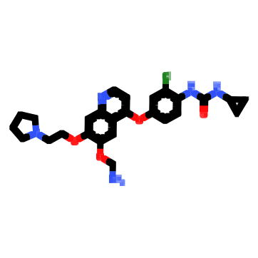 NCOc1cc2c(Oc3ccc(NC(=O)NC4CC4)c(Cl)c3)ccnc2cc1OCCN1CCCC1